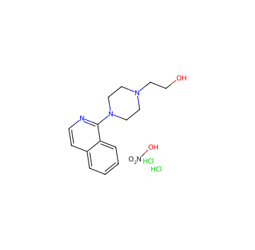 Cl.Cl.O=[N+]([O-])O.OCCN1CCN(c2nccc3ccccc23)CC1